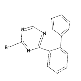 Brc1ncnc(-c2ccccc2-c2ccccc2)n1